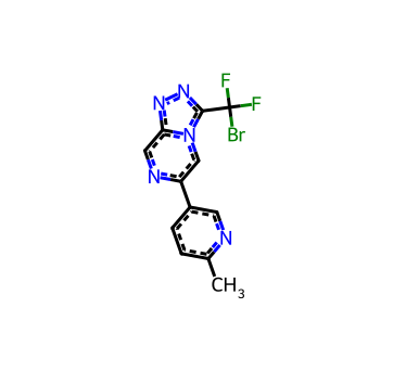 Cc1ccc(-c2cn3c(C(F)(F)Br)nnc3cn2)cn1